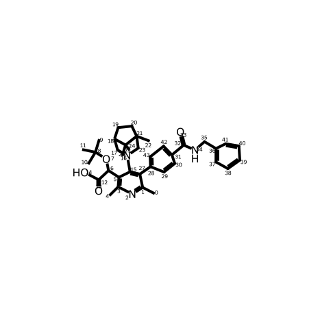 Cc1nc(C)c(C(OC(C)(C)C)C(=O)O)c(N2CC3CCC(C)(C2)C3(C)C)c1-c1ccc(C(=O)NCc2ccccc2)cc1